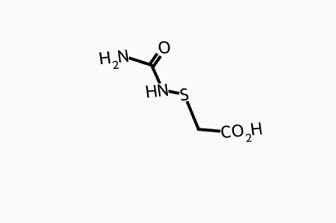 NC(=O)NSCC(=O)O